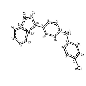 Clc1ccc(Nc2ccc(-c3nnc4ccccn34)cn2)cc1